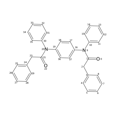 O=C(Cc1ccccc1)N(c1ccccc1)c1ccc(N(C(=O)Cc2ccccc2)c2ccccc2)cc1